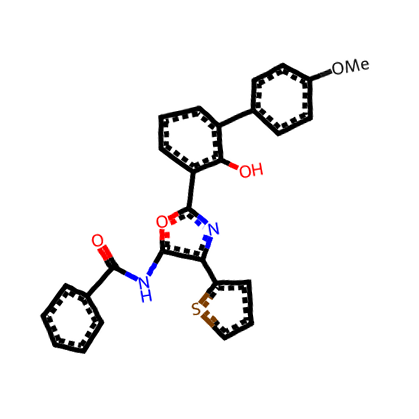 COc1ccc(-c2cccc(-c3nc(-c4cccs4)c(NC(=O)c4ccccc4)o3)c2O)cc1